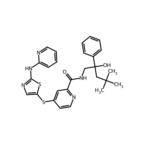 CC(C)(C)CC(O)(CNC(=O)c1cc(Sc2cnc(Nc3ccccn3)s2)ccn1)c1ccccc1